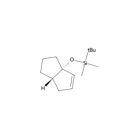 CC(C)(C)[Si](C)(C)O[C@]12C=CC[C@@H]1CCC2